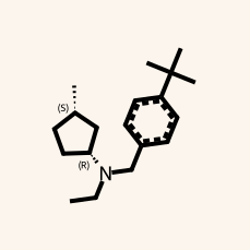 CCN(Cc1ccc(C(C)(C)C)cc1)[C@@H]1CC[C@H](C)C1